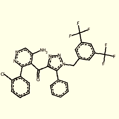 Nc1cnnc(-c2ccccc2Cl)c1C(=O)c1nnn(Cc2cc(C(F)(F)F)cc(C(F)(F)F)c2)c1-c1ccccc1